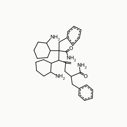 C=C(CC(Cc1ccccc1)C(N)=O)C(C1CCCCC1N)C(Cc1ccccc1)(C(N)=O)C1CCCCC1N